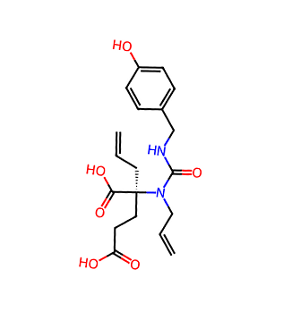 C=CCN(C(=O)NCc1ccc(O)cc1)[C@@](CC=C)(CCC(=O)O)C(=O)O